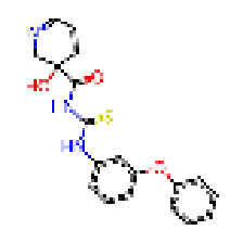 O=C(NC(=S)Nc1cccc(Oc2ccccc2)c1)C1(O)C=CC=NC1